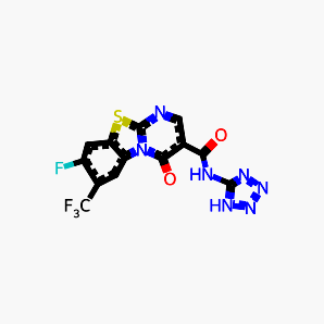 O=C(Nc1nnn[nH]1)c1cnc2sc3cc(F)c(C(F)(F)F)cc3n2c1=O